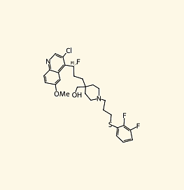 COc1ccc2ncc(Cl)c([C@H](F)CCC3(CO)CCN(CCCSc4cccc(F)c4F)CC3)c2c1